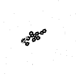 CC1(C)N=C(c2ccccc2)N(c2ccc(-c3cc4c(c5ccccc35)-c3ccc(-c5ccc6ccccc6c5)cc3C4(c3ccccc3)c3ccccc3)cn2)C1(C)C